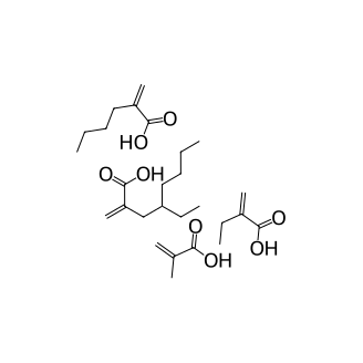 C=C(C)C(=O)O.C=C(CC(CC)CCCC)C(=O)O.C=C(CC)C(=O)O.C=C(CCCC)C(=O)O